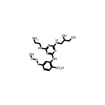 NCCNc1nc(NCC(O)CO)nc(Nc2cc(SOOO)ccc2S(=O)(=O)O)n1